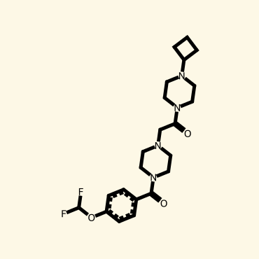 O=C(CN1CCN(C(=O)c2ccc(OC(F)F)cc2)CC1)N1CCN(C2CCC2)CC1